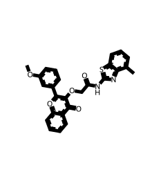 COc1cccc(-c2oc3ccccc3c(=O)c2OCC(=O)Nc2nc3c(C)cccc3s2)c1